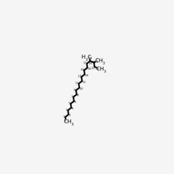 CCCCCCCCCCCCCCCCCCC(C)C(C)CC